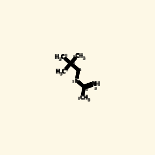 CC(=N)SCC(C)(C)C